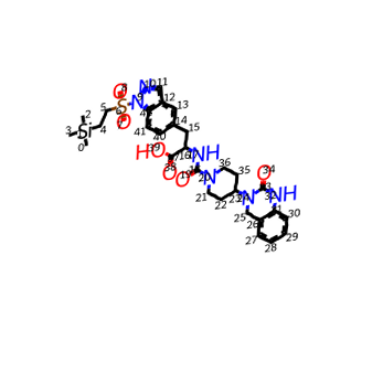 C[Si](C)(C)CCS(=O)(=O)n1ncc2cc(CC(NC(=O)N3CCC(N4Cc5ccccc5NC4=O)CC3)C(=O)O)ccc21